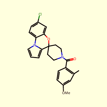 COc1ccc(C(=O)N2CCC3(CC2)Oc2cc(Cl)ccc2-n2cccc23)c(C)c1